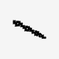 C=CCOCc1ccc(CCCCC2CCC(CCCCC3CCC(C=C)CC3)CC2)cc1